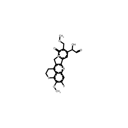 COCc1c(C(O)C=O)cc2n(c1=O)Cc1c-2nc2cc(F)c(OC)c3c2c1CCS3